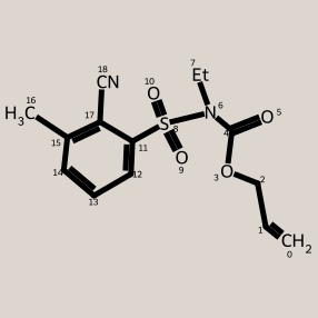 C=CCOC(=O)N(CC)S(=O)(=O)c1cccc(C)c1C#N